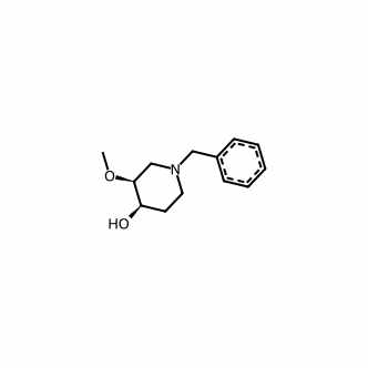 CO[C@H]1CN(Cc2ccccc2)CC[C@H]1O